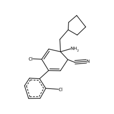 N#CC1C=C(c2ccccc2Cl)C(Cl)=CC1(N)CC1CCCC1